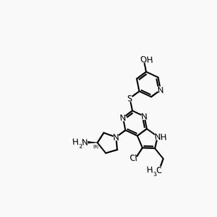 CCc1[nH]c2nc(Sc3cncc(O)c3)nc(N3CC[C@@H](N)C3)c2c1Cl